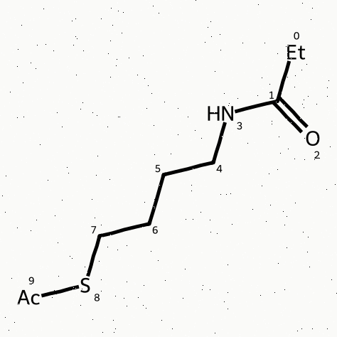 CCC(=O)NCCCCSC(C)=O